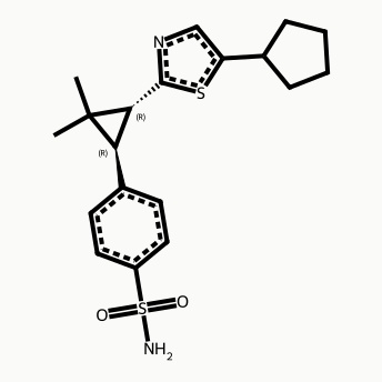 CC1(C)[C@H](c2ccc(S(N)(=O)=O)cc2)[C@H]1c1ncc(C2CCCC2)s1